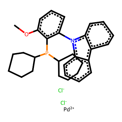 COc1cccc(-n2c3ccccc3c3ccccc32)c1P(C1CCCCC1)C1CCCCC1.[Cl-].[Cl-].[Pd+2]